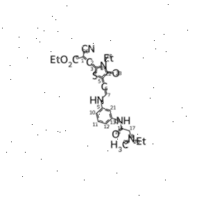 CCOC(=O)C(=C=c1sc(=C=CNc2cccc(NC(=O)CN(C)CC)c2)c(=O)n1CC)C#N